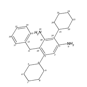 Nc1cc(C2CCCCC2)c(Cc2ccccc2)c(N)c1C1CCCCC1